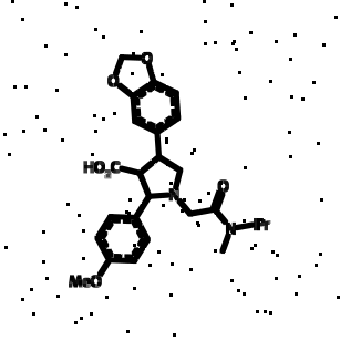 COc1ccc(C2C(C(=O)O)C(c3ccc4c(c3)OCO4)CN2CC(=O)N(C)C(C)C)cc1